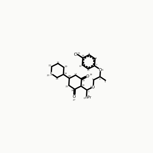 CCCC(OCC(C)Oc1ccc(Cl)cc1)C1C(=O)CC(C2CCCSC2)CC1=O